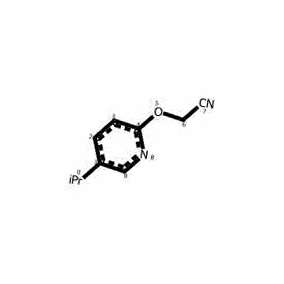 CC(C)c1ccc(OCC#N)nc1